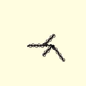 C#CCOCCOCCOCCOCCOc1ccc2c(c1)C(C)(C)\C(=C/C=C\C=C/C1=[N+](CCOCCOCCOCCOC)c3ccc(OCCOCCOCCOCCOC)cc3C1(C)C)N2CCOCCOCCOCCOC